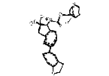 CC1(C)Cc2cc(-c3ccc4c(c3)CCO4)ccc2C1NC(=O)O[C@H]1CN2CCC1CC2